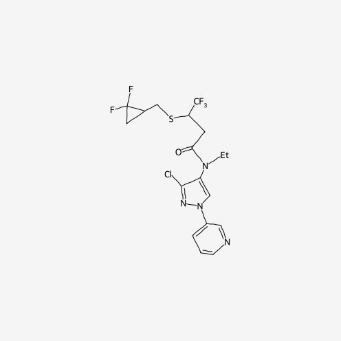 CCN(C(=O)CC(SCC1CC1(F)F)C(F)(F)F)c1cn(-c2cccnc2)nc1Cl